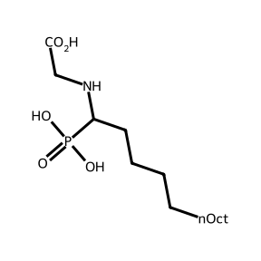 CCCCCCCCCCCCC(NCC(=O)O)P(=O)(O)O